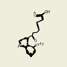 Cc1cccc2nccc(C(=O)CCCCC(=O)O)c12